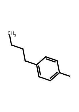 CCC[CH]c1ccc(I)cc1